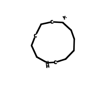 C1CCCCCNCCCCC1.[Y]